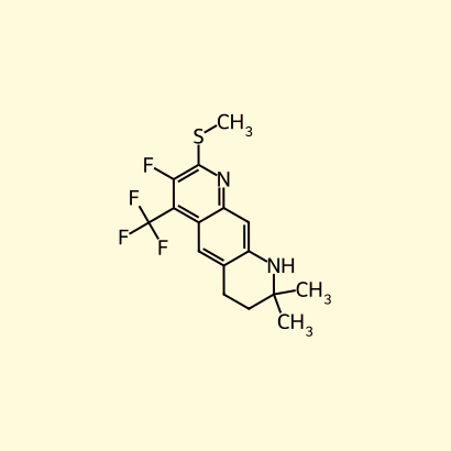 CSc1nc2cc3c(cc2c(C(F)(F)F)c1F)CCC(C)(C)N3